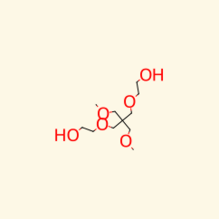 COCC(COC)(COCCO)COCCO